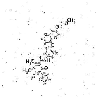 COCCOc1cnc2c(Oc3ccc(NC(=O)c4c(C)n(C)c(C)c(-c5ccco5)c4=O)cc3F)ccnc2c1